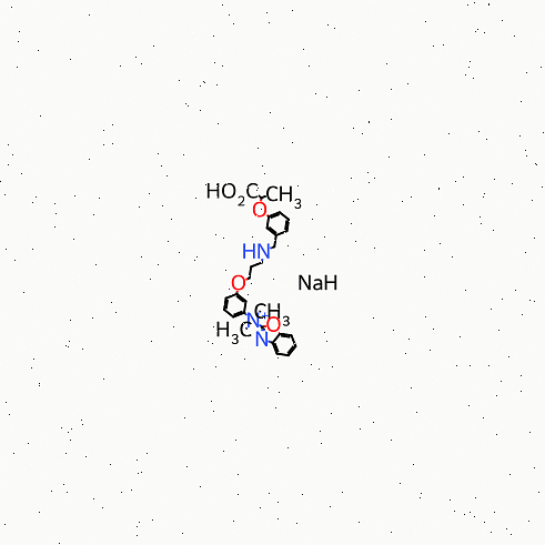 CC(Oc1cccc(CNCCCOc2cccc([N+](C)(C)c3nc4ccccc4o3)c2)c1)C(=O)O.[NaH]